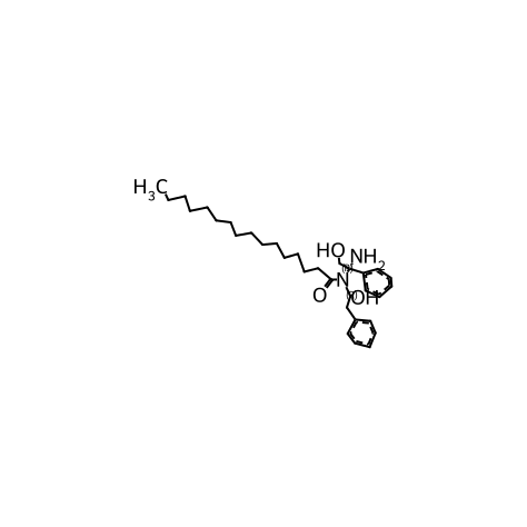 CCCCCCCCCCCCCCCC(=O)N([C@H](O)Cc1ccccc1)[C@@](N)(CO)c1ccccc1